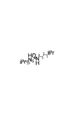 CC(C)CCCCNC(=O)CNCC(C)C